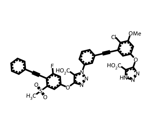 COc1cc(Oc2nn[nH]c2C(=O)O)cc(C#Cc2cccc(-n3nnc(Oc4cc(F)c(C#Cc5ccccc5)c(S(C)(=O)=O)c4)c3C(=O)O)c2)c1Cl